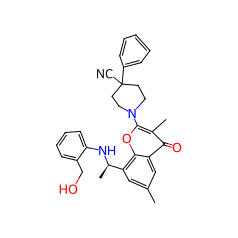 Cc1cc([C@@H](C)Nc2ccccc2CO)c2oc(N3CCC(C#N)(c4ccccc4)CC3)c(C)c(=O)c2c1